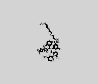 CNCCOCCOCCNS(=O)(=O)c1cc(F)cc(N(C(=O)[C@@H]2CCC(=O)N2c2cc(C#N)ccn2)[C@H](C(=O)NC2CC(F)(F)C2)c2ccccc2Cl)c1